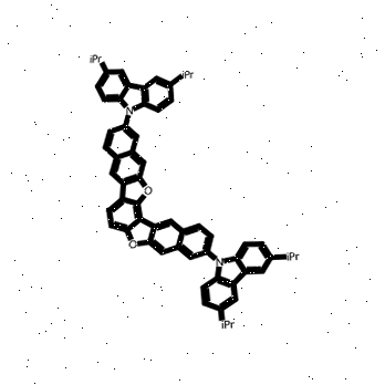 CC(C)c1ccc2c(c1)c1cc(C(C)C)ccc1n2-c1ccc2cc3c(cc2c1)oc1c3ccc2oc3cc4cc(-n5c6ccc(C(C)C)cc6c6cc(C(C)C)ccc65)ccc4cc3c21